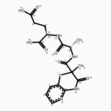 C[C@H](NC(=O)C1(C)Oc2cccnc2NC1=O)C(=O)N[C@H](CCC(=O)O)C(=O)O